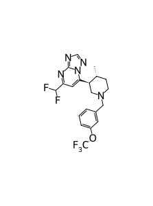 C[C@@H]1CCN(Cc2cccc(OC(F)(F)F)c2)C[C@H]1c1cc(C(F)F)nc2ncnn12